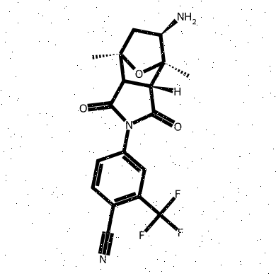 C[C@]12O[C@](C)(C[C@H]1N)C1C(=O)N(c3ccc(C#N)c(C(F)(F)F)c3)C(=O)[C@H]12